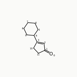 O=C1C=C(C2CCCCC2)CC1